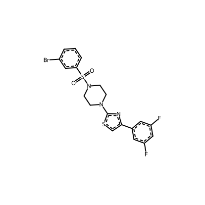 O=S(=O)(c1cccc(Br)c1)N1CCN(c2nc(-c3cc(F)cc(F)c3)cs2)CC1